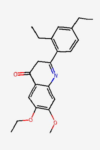 CCOc1cc2c(cc1OC)N=C(c1ccc(CC)cc1CC)CC2=O